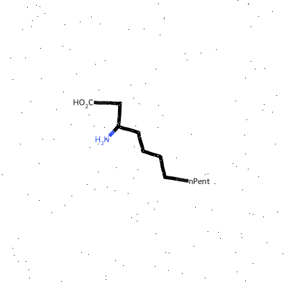 CCCCCCCCCC(N)CC(=O)O